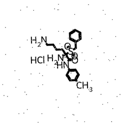 Cc1ccc(NC(=O)[C@](N)(CCCCN)S(=O)(=O)Cc2ccccc2)cc1.Cl